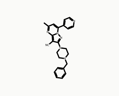 Cc1cc(-c2ccncc2)n2nc(N3CCN(Cc4ccccc4)CC3)c(C#N)c2n1